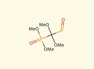 COC(OC)(P=O)P(=O)(OC)OC